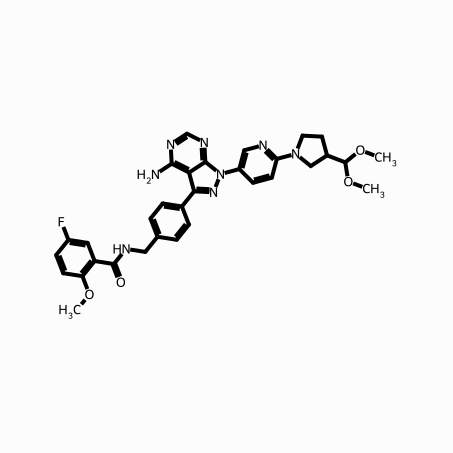 COc1ccc(F)cc1C(=O)NCc1ccc(-c2nn(-c3ccc(N4CCC(C(OC)OC)C4)nc3)c3ncnc(N)c23)cc1